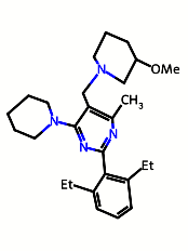 CCc1cccc(CC)c1-c1nc(C)c(CN2CCCC(OC)C2)c(N2CCCCC2)n1